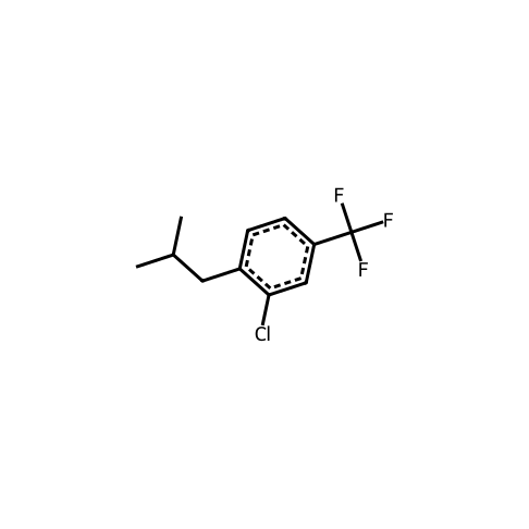 CC(C)Cc1ccc(C(F)(F)F)cc1Cl